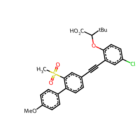 COc1ccc(-c2ccc(C#Cc3cc(Cl)ccc3OC(C(=O)O)C(C)(C)C)cc2S(C)(=O)=O)cc1